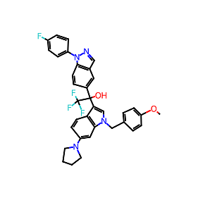 COc1ccc(Cn2cc(C(O)(c3ccc4c(cnn4-c4ccc(F)cc4)c3)C(F)(F)F)c3ccc(N4CCCC4)cc32)cc1